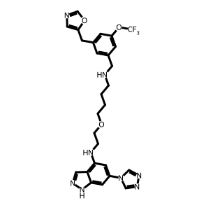 FC(F)(F)Oc1cc(CNCCCCOCCNc2cc(-n3cnnc3)cc3[nH]ncc23)cc(Cc2cnco2)c1